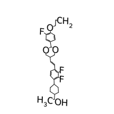 C=CCOc1ccc(C2OCC(/C=C/c3ccc(C4CCC(C(C)O)CC4)c(F)c3F)CO2)cc1F